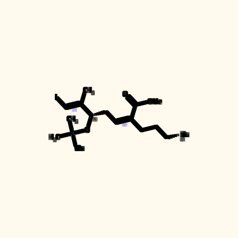 CC[C@@H](C)CCC/C(=C/C[C@H](O[Si](C)(C)C(C)(C)C)/C(C)=C/I)C(=O)OC